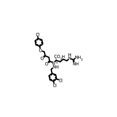 N=C(N)NCCC[C@@H](C(=O)O)N(NCc1ccc(Cl)c(Cl)c1)C(=O)CC(=O)COc1ccc(Cl)cc1